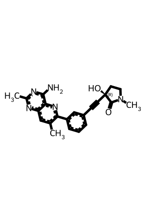 Cc1nc(N)c2nc(-c3cccc(C#C[C@]4(O)CCN(C)C4=O)c3)c(C)cc2n1